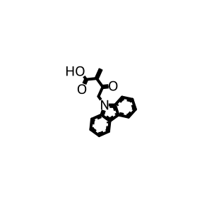 C=C(C(=O)O)C(=O)Cn1c2ccccc2c2ccccc21